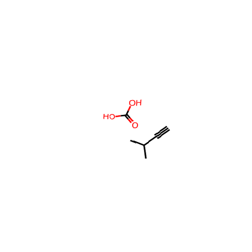 C#CC(C)C.O=C(O)O